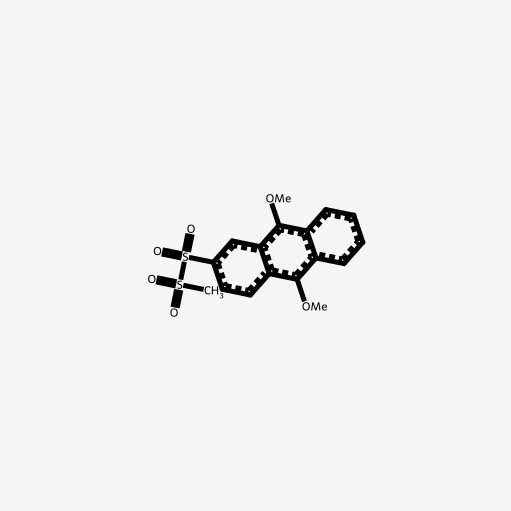 COc1c2ccccc2c(OC)c2cc(S(=O)(=O)S(C)(=O)=O)ccc12